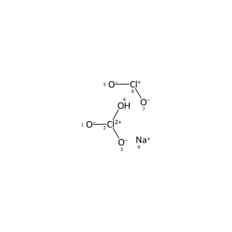 [Na+].[O-][Cl+2]([O-])O.[O-][Cl+][O-]